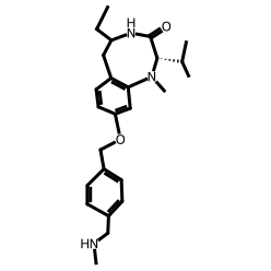 CCC1Cc2ccc(OCc3ccc(CNC)cc3)cc2N(C)[C@@H](C(C)C)C(=O)N1